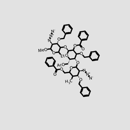 CCC1OC(OC)[C@@H](N=[N+]=[N-])[C@H](OCc2ccccc2)C1O[C@@H]1O[C@@H](COC(C)=O)[C@@H](OC2OC(COC(=O)c3ccccc3)C(C)[C@@H](OCc3ccccc3)[C@@H]2N=[N+]=[N-])C(OCc2ccccc2)C1OC(=O)c1ccccc1